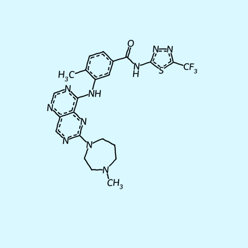 Cc1ccc(C(=O)Nc2nnc(C(F)(F)F)s2)cc1Nc1ncnc2cnc(N3CCCN(C)CC3)nc12